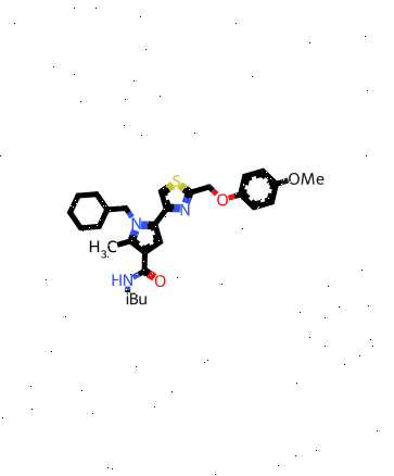 CCC(C)NC(=O)c1cc(-c2csc(COc3ccc(OC)cc3)n2)n(CC2CCCCC2)c1C